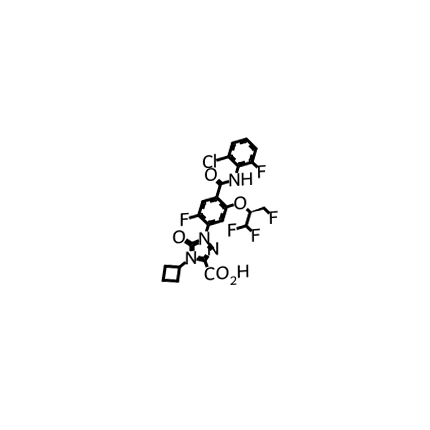 O=C(Nc1c(F)cccc1Cl)c1cc(F)c(-n2nc(C(=O)O)n(C3CCC3)c2=O)cc1O[C@@H](CF)C(F)F